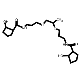 CC(COCCCNC(=O)C1CCCC1O)OCCCNC(=O)C1CCCC1O